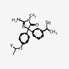 CC(O)c1cccc(C2(c3ccc(OC(F)F)cc3)N=C(N)N(C)C2=O)c1